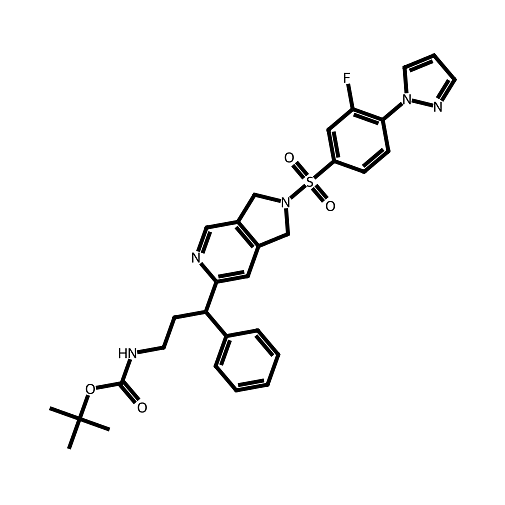 CC(C)(C)OC(=O)NCCC(c1ccccc1)c1cc2c(cn1)CN(S(=O)(=O)c1ccc(-n3cccn3)c(F)c1)C2